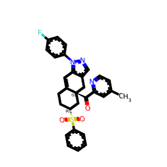 Cc1ccnc(C(=O)[C@]23Cc4cnn(-c5ccc(F)cc5)c4C=C2CC[C@@H](S(=O)(=O)c2ccccc2)C3)c1